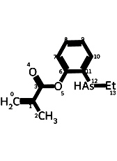 C=C(C)C(=O)Oc1ccccc1[AsH]CC